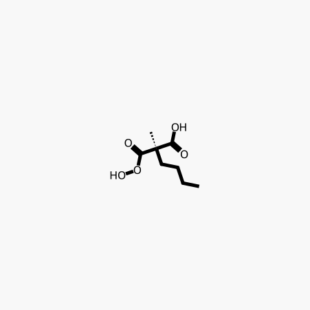 CCCC[C@](C)(C(=O)O)C(=O)OO